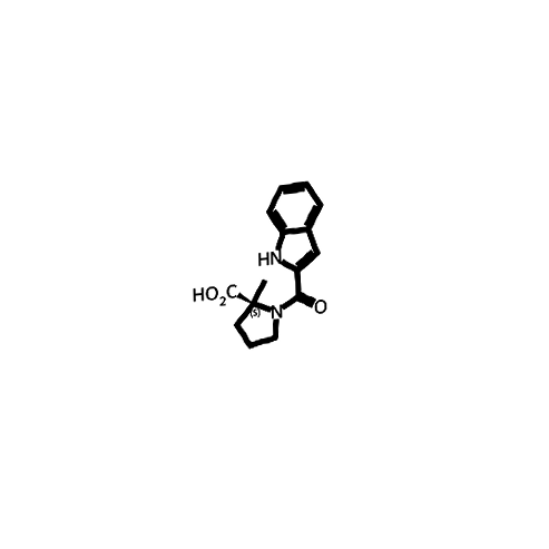 C[C@@]1(C(=O)O)CCCN1C(=O)c1cc2ccccc2[nH]1